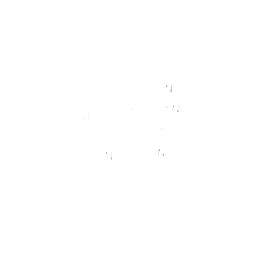 CC12C=NNC1N=CN=C2Cl